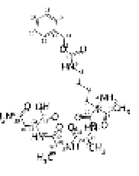 CC(=O)[C@](N)(CCCCNC(=O)OCc1ccccc1)C(=O)N[C@@H](C)C(=O)N[C@H](C)C(=O)N[C@@H](CC(N)=O)C(=O)O